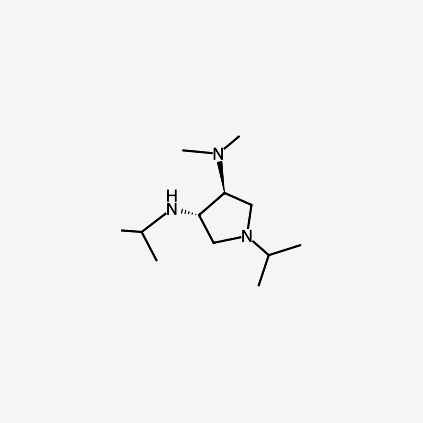 CC(C)N[C@H]1CN(C(C)C)C[C@@H]1N(C)C